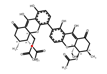 CC(=O)OC[C@]12Oc3c(-c4ccc5c(c4O)C(O)=C4C(=O)C[C@@H](C)[C@@H](OC(C)=O)[C@@]4(CO)O5)ccc(O)c3C(O)=C1C(=O)C[C@@H](C)[C@H]2OC(C)=O